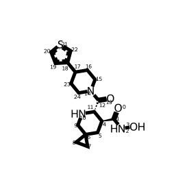 O=C(NO)[C@H]1CC2(CC2)CN[C@@H]1C(=O)N1CCC(c2ccsc2)CC1